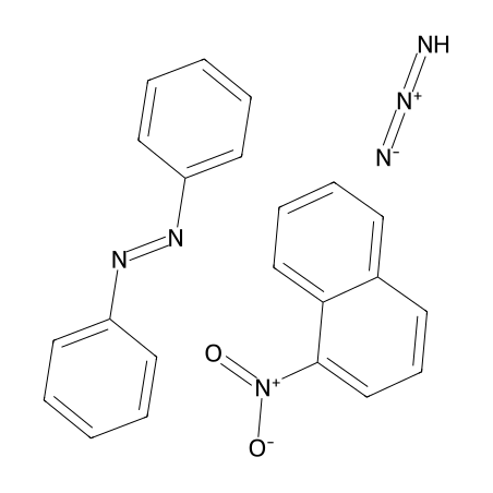 O=[N+]([O-])c1cccc2ccccc12.[N-]=[N+]=N.c1ccc(N=Nc2ccccc2)cc1